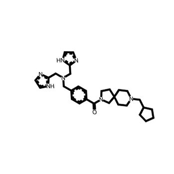 O=C(c1ccc(CN(Cc2ncc[nH]2)Cc2ncc[nH]2)cc1)N1CCC2(CCN(CC3CCCC3)CC2)C1